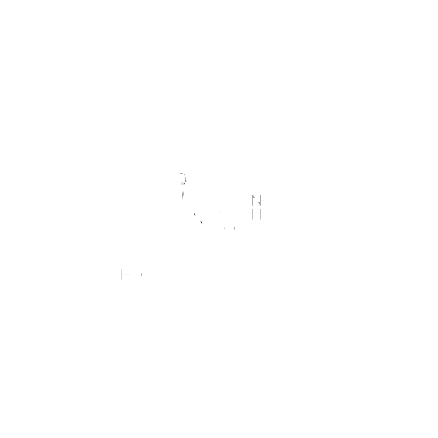 CCCCN1C(=O)c2c(Nc3ccccc3)ccc3c2C(=O)C1C=C3